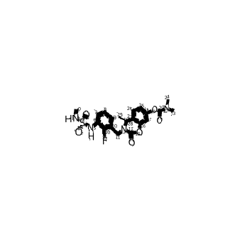 CNS(=O)(=O)Nc1cccc(CN2C(=O)Oc3cc(OC(=O)N(C)C)ccc3[C@@H]2C)c1F